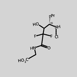 CCC[C@H](NCl)C(O)C(F)(F)C(=O)NCC(=O)O